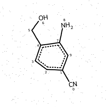 N#Cc1ccc(CO)c(N)c1